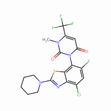 Cn1c(C(F)(F)F)cc(=O)n(-c2c(F)cc(Cl)c3nc(N4CCCCC4)sc23)c1=O